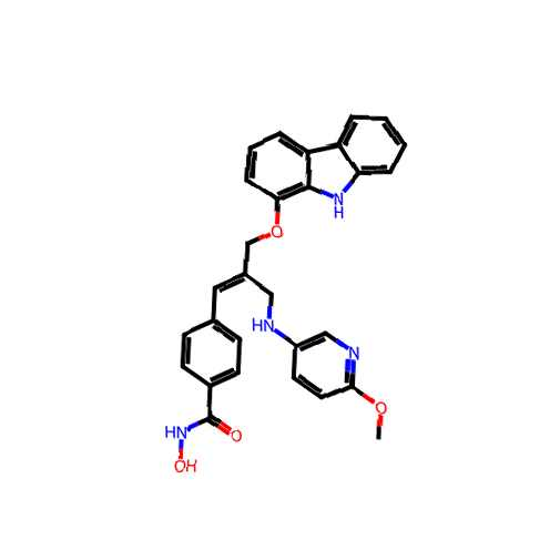 COc1ccc(NCC(=Cc2ccc(C(=O)NO)cc2)COc2cccc3c2[nH]c2ccccc23)cn1